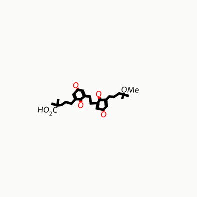 COC(C)(C)CCCC1=CC(=O)C=C(CCC2=CC(=O)C=C(CCCC(C)(C)C(=O)O)C2=O)C1=O